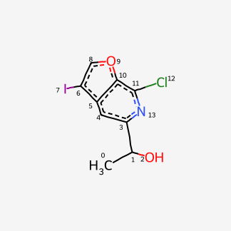 CC(O)c1cc2c(I)coc2c(Cl)n1